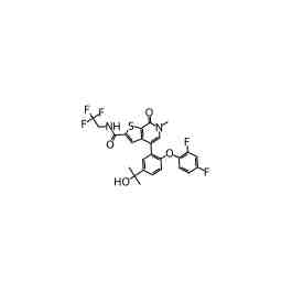 Cn1cc(-c2cc(C(C)(C)O)ccc2Oc2ccc(F)cc2F)c2cc(C(=O)NCC(F)(F)F)sc2c1=O